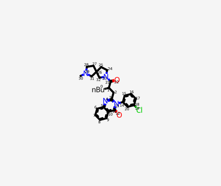 CCCCC(Cc1nc2ccccc2c(=O)n1-c1cccc(Cl)c1)C(=O)N1CCC2(CCN(C)C2)C1